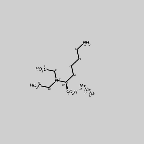 NCCCC[C@@H](C(=O)O)N(CC(=O)O)CC(=O)O.[Na].[Na].[Na]